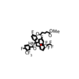 COC(=O)CCCCOc1cc(C(Cc2ccccc2)(NC(=O)c2ccc(F)c(C(F)(F)F)c2)c2cc(F)cc(OC(F)(F)C(F)F)c2)ccc1F